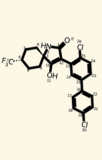 O=C1N[C@]2(CC[C@@H](C(F)(F)F)CC2)C(O)=C1c1cc(-c2ccc(Cl)cc2)ccc1Cl